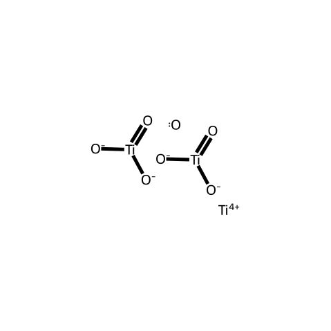 [O].[O]=[Ti]([O-])[O-].[O]=[Ti]([O-])[O-].[Ti+4]